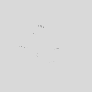 CC(CON)Oc1cc(F)cc(F)c1